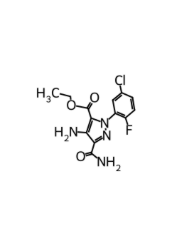 CCOC(=O)c1c(N)c(C(N)=O)nn1-c1cc(Cl)ccc1F